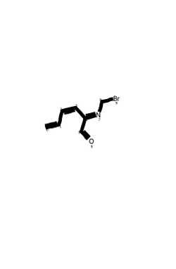 C=C/C=C\C(C=O)=N/CBr